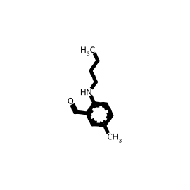 CCCCNc1ccc(C)cc1C=O